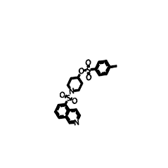 Cc1ccc(S(=O)(=O)OC2CCN(S(=O)(=O)c3cccc4cnccc34)CC2)cc1